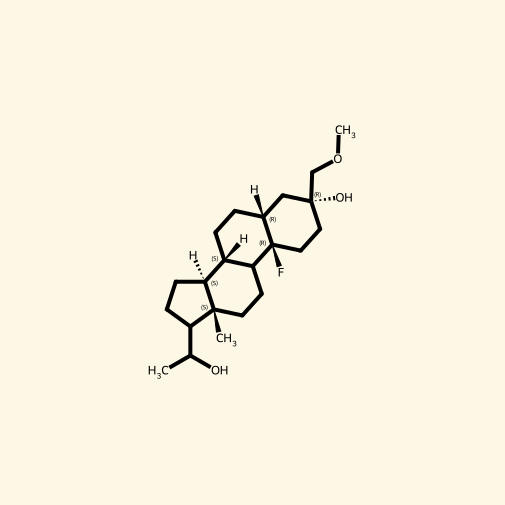 COC[C@@]1(O)CC[C@]2(F)C3CC[C@]4(C)C(C(C)O)CC[C@H]4[C@@H]3CC[C@@H]2C1